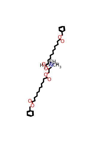 C[N+](C)(C)CC(COC(=O)CCCCCCCCCCC(=O)OCc1ccccc1)OC(=O)CCCCCCCCCCC(=O)OCc1ccccc1